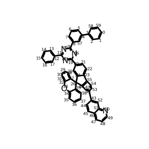 c1ccc(-c2cccc(-c3nc(-c4ccccc4)nc(-c4ccc5c(c4)C4(c6ccccc6Oc6ccccc64)c4cc(-c6ccc7cccnc7c6)ccc4-5)n3)c2)cc1